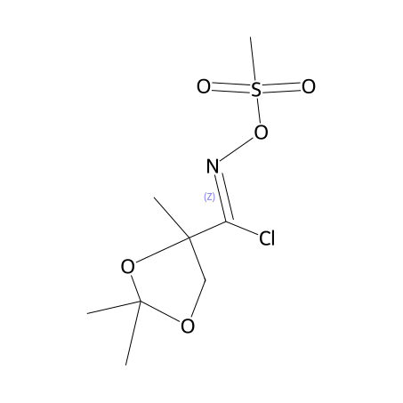 CC1(C)OCC(C)(/C(Cl)=N/OS(C)(=O)=O)O1